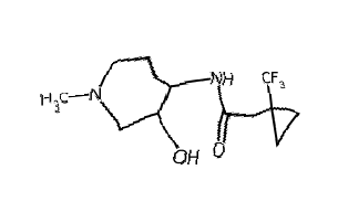 CN1CCC(NC(=O)C2(C(F)(F)F)CC2)C(O)C1